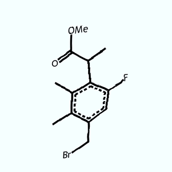 COC(=O)C(C)c1c(F)cc(CBr)c(C)c1C